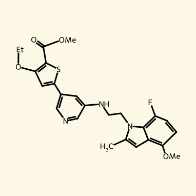 CCOc1cc(-c2cncc(NCCn3c(C)cc4c(OC)ccc(F)c43)c2)sc1C(=O)OC